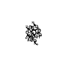 CCOP(=O)(N[C@@H]1[C@H](OC(C)=O)C(OC(C)=O)[C@H](OC(C)=O)C2COC(=O)N21)OCC